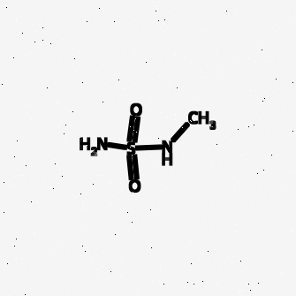 CNS(N)(=O)=O